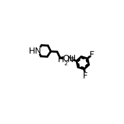 Nc1cc(F)cc(F)c1.OCCC1CCNCC1